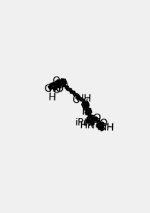 Cc1cc(C)c(CNC(=O)c2cc(-c3ccc(N4CCN(CCNC(=O)CCCCCCCNc5cccc6c5C(=O)N(C5CCC(=O)NC5=O)C6=O)CC4)nc3)cc(NC(C)C)c2C=N)c(=O)[nH]1